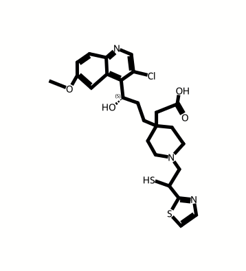 COc1ccc2ncc(Cl)c([C@@H](O)CCC3(CC(=O)O)CCN(CC(S)c4nccs4)CC3)c2c1